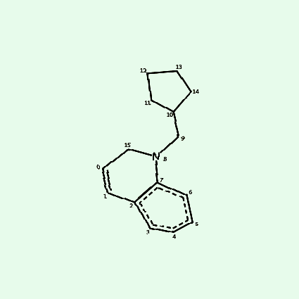 C1=Cc2ccccc2N(CC2CCCC2)C1